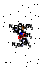 C=CSC1=C(C=C)N(S(=O)(=O)C(/C=C\C)=C/C=C\C)CC(/C=C\C)=C1C=C